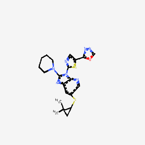 CC1(C)CC1Sc1cnc2c(c1)nc(N1CCCCC1)n2-c1ncc(-c2nnco2)s1